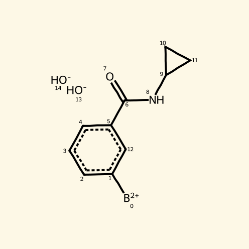 [B+2]c1cccc(C(=O)NC2CC2)c1.[OH-].[OH-]